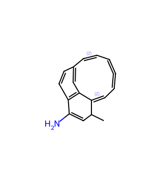 CC1C=C(N)c2ccc3cc2/C1=C\C=C=C/C=C\3